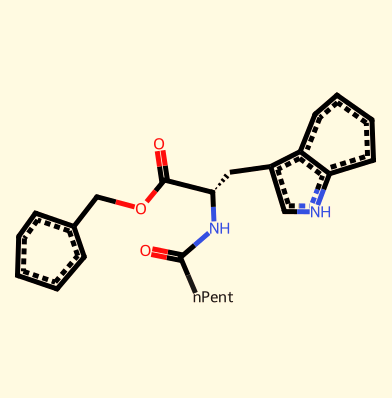 CCCCCC(=O)N[C@@H](Cc1c[nH]c2ccccc12)C(=O)OCc1ccccc1